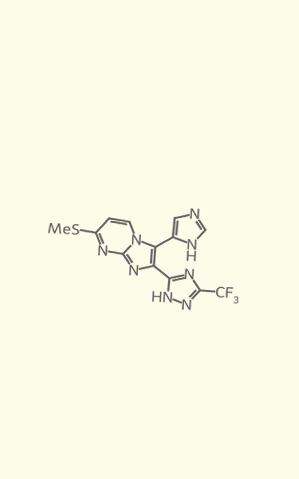 CSc1ccn2c(-c3cnc[nH]3)c(-c3nc(C(F)(F)F)n[nH]3)nc2n1